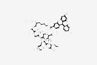 CC(=O)N[C@H](CCCCNC(=O)c1ccc(-c2c3ccc(=O)cc-3oc3cc(O)ccc23)c(C(=O)O)c1)C(=O)N[C@H](C)C(=O)N[C@H](C)C(=O)N[C@H](C)C(=O)N[C@@H](C(=O)N[C@H](Cc1c[nH]cn1)C(=O)N[C@H](CCC(=O)O)C(N)=O)[C@H](C)O